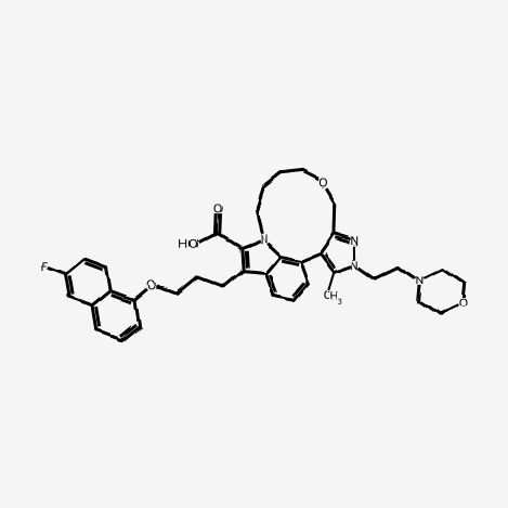 Cc1c2c(nn1CCN1CCOCC1)COCCCCn1c(C(=O)O)c(CCCOc3cccc4cc(F)ccc34)c3cccc-2c31